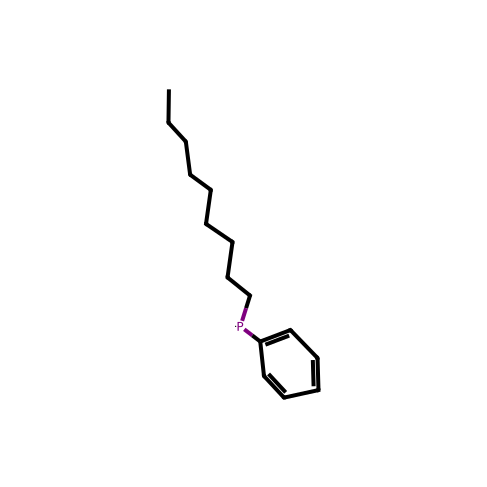 CCCCCCCCC[P]c1ccccc1